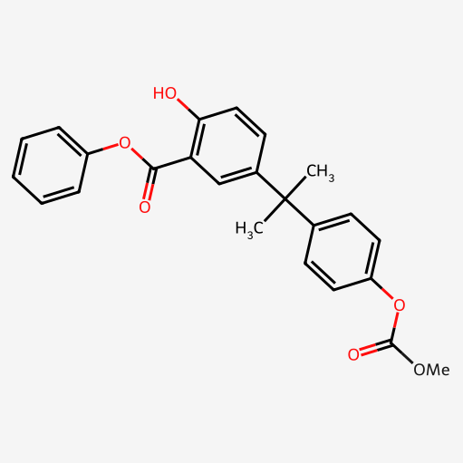 COC(=O)Oc1ccc(C(C)(C)c2ccc(O)c(C(=O)Oc3ccccc3)c2)cc1